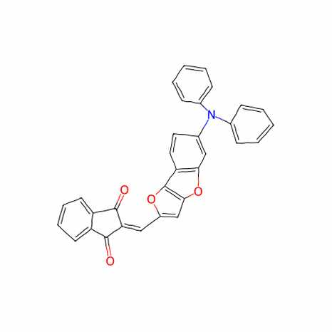 O=C1C(=Cc2cc3oc4cc(N(c5ccccc5)c5ccccc5)ccc4c3o2)C(=O)c2ccccc21